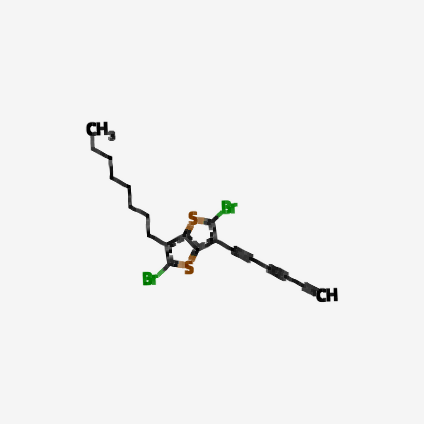 C#CC#CC#Cc1c(Br)sc2c(CCCCCCCC)c(Br)sc12